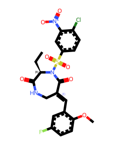 CC[C@@H]1C(=O)NC/C(=C\c2cc(F)ccc2OC)C(=O)N1S(=O)(=O)c1ccc(Cl)c([N+](=O)[O-])c1